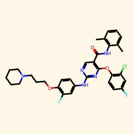 Cc1cccc(C)c1NC(=O)c1cnc(Nc2ccc(OCCCN3CCCCC3)c(F)c2)nc1Oc1ccc(F)cc1Cl